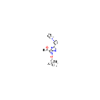 CC(C)(C)C(=O)c1cn(COCC[Si](C)(C)C)c2ncc(-c3cccc(N4CC5=CCCC5C4)c3)nc12